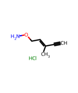 C#C/C(C)=C/CON.Cl